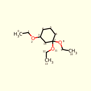 CCOC1CCCC(OCC)(OCC)C1